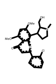 COc1cc(OC)c2c(=O)cc(-c3ccccc3Cl)oc2c1C1CCN(C)C1CO